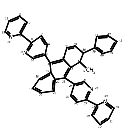 CC1c2c(c(-c3ccc(-c4ccccn4)nc3)c3ccccc3c2-c2ccc(-c3ccccn3)nc2)C=CC1c1ccccc1